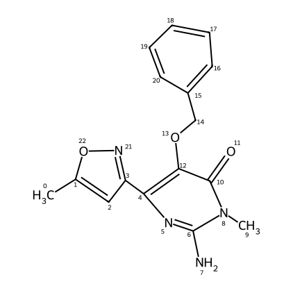 Cc1cc(-c2nc(N)n(C)c(=O)c2OCc2ccccc2)no1